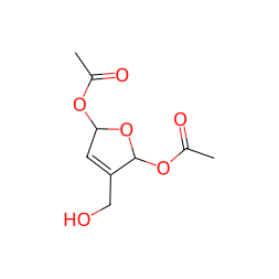 CC(=O)OC1C=C(CO)C(OC(C)=O)O1